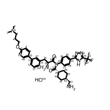 CN(C)CCCOc1ccc(-c2cccc(C[C@H](N)C(=O)N(c3ccc(-c4nnc(C(F)(F)F)[nH]4)cc3)C(=O)[C@H]3CC[C@H](CN)CC3)c2)cn1.Cl